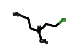 CCCCC[SiH](C)CCCl